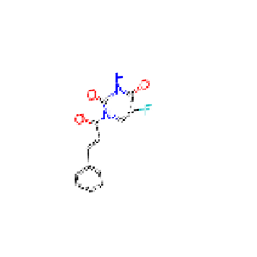 O=C(C=Cc1ccccc1)n1cc(F)c(=O)[nH]c1=O